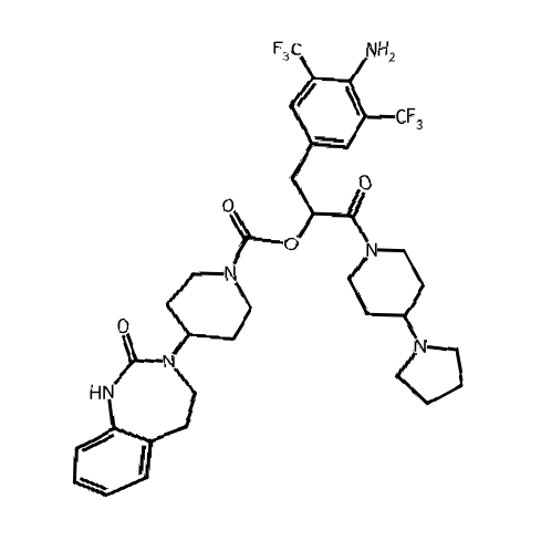 Nc1c(C(F)(F)F)cc(CC(OC(=O)N2CCC(N3CCc4ccccc4NC3=O)CC2)C(=O)N2CCC(N3CCCC3)CC2)cc1C(F)(F)F